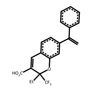 C=C(c1ccccc1)c1ccc2c(c1)OC(CC)(C(F)(F)F)C(C(=O)O)=C2